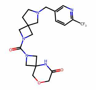 O=C1COCC2(CN(C(=O)N3CC4(CCN(Cc5ccc(C(F)(F)F)nc5)C4)C3)C2)N1